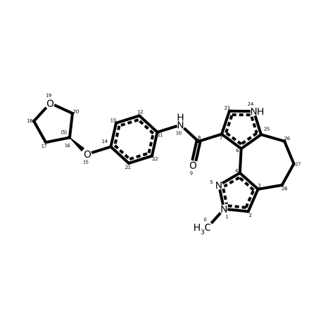 Cn1cc2c(n1)-c1c(C(=O)Nc3ccc(O[C@H]4CCOC4)cc3)c[nH]c1CCC2